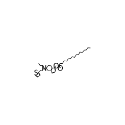 CCCCCCCCCCCCCCCCC(=O)Oc1cccc2c1CCC(N(CCC)CCc1cccs1)C2